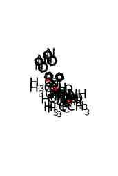 C1CCC2=NCCCN2CC1.C1CCC2=NCCCN2CC1.CC(C)(C)[Si](C)(C)O[C@H]1[C@H](n2ccc(=O)[nH]c2=O)O[C@H](CO[Si](c2ccccc2)(c2ccccc2)C(C)(C)C)[C@]1(O)P(=O)(O)O